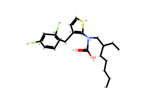 CCCCCC(CC)CN(C(=O)O)c1sccc1Cc1ccc(F)cc1F